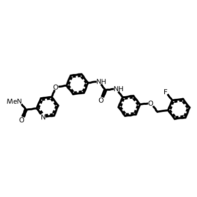 CNC(=O)c1cc(Oc2ccc(NC(=O)Nc3cccc(OCc4ccccc4F)c3)cc2)ccn1